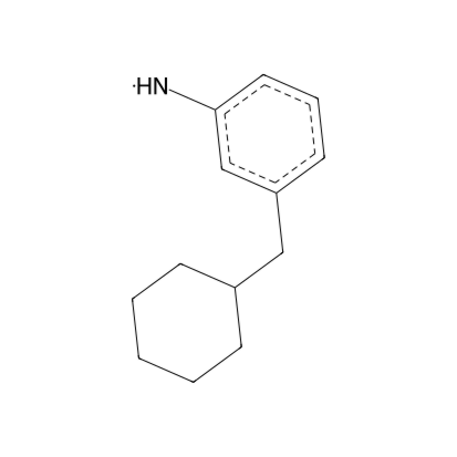 [NH]c1cccc(CC2CCCCC2)c1